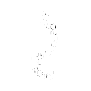 O=C1CC[C@H](c2noc3c(NC(=O)C(F)(F)C4CCN(CC5CCC(n6cc(NC(=O)c7cnn8ccc(N9C[C@H]%10C[C@@H]9CO%10)nc78)c(C(F)F)n6)CC5)CC4)cccc23)C(=O)N1